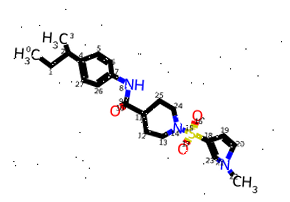 CCC(C)c1ccc(NC(=O)C2CCN(S(=O)(=O)c3ccn(C)c3)CC2)cc1